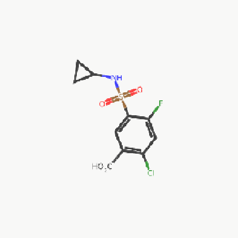 O=C(O)c1cc(S(=O)(=O)NC2CC2)c(F)cc1Cl